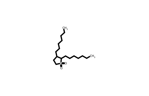 CCCCCCCC1CCS(=O)(=O)C1CCCCCCC